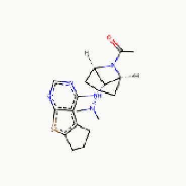 CC(=O)N1[C@@H]2C[C@@H](N(C)C)C[C@H]1[C@@H]2Nc1ncnc2sc3c(c12)CCC3